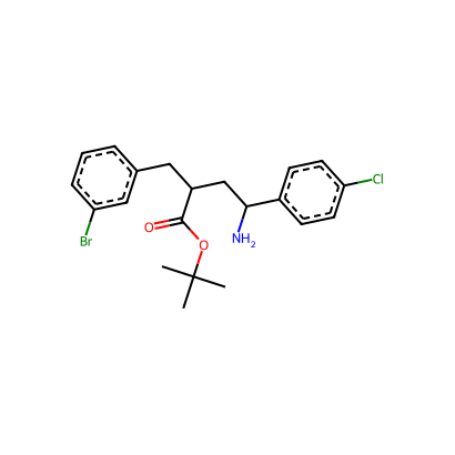 CC(C)(C)OC(=O)C(Cc1cccc(Br)c1)CC(N)c1ccc(Cl)cc1